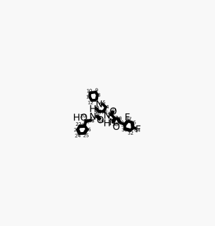 O=C(N[C@@H]1CCN(C2CCCCC2)C[C@H]1C(=O)NC[C@H](O)c1ccccc1)c1cc(-c2ccc(F)cc2F)on1